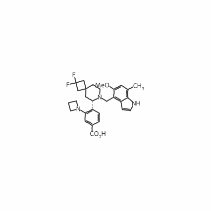 COc1cc(C)c2[nH]ccc2c1CN1CCC2(C[C@H]1c1ccc(C(=O)O)cc1N1CCC1)CC(F)(F)C2